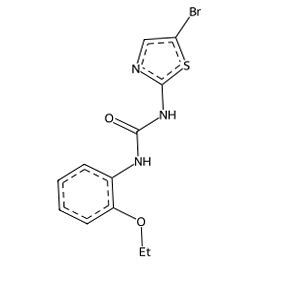 CCOc1ccccc1NC(=O)Nc1ncc(Br)s1